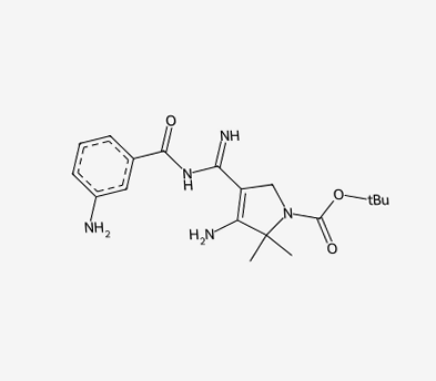 CC(C)(C)OC(=O)N1CC(C(=N)NC(=O)c2cccc(N)c2)=C(N)C1(C)C